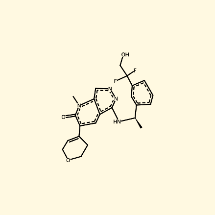 C[C@@H](Nc1nncc2c1cc(C1=CCOCC1)c(=O)n2C)c1cccc(C(F)(F)CO)c1